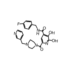 O=C(NCc1ccc(F)cc1)c1cc(C(=O)N2CCN(Cc3cccnc3)CC2)nc(O)c1O